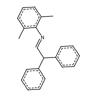 Cc1cccc(C)c1/N=C/C(c1ccccc1)c1ccccc1